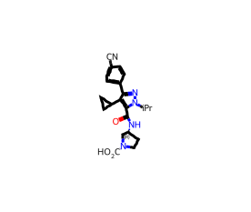 CC(C)n1nc(-c2ccc(C#N)cc2)c(C2CC2)c1C(=O)N[C@@H]1CCN(C(=O)O)C1